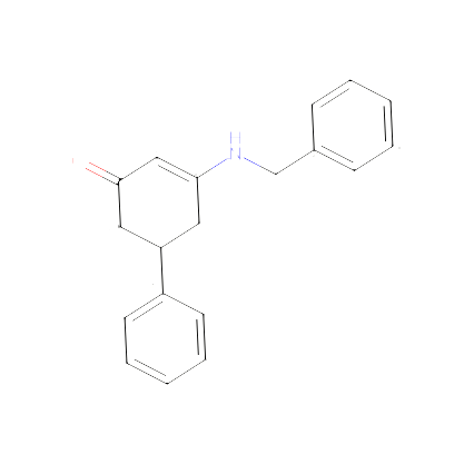 O=C1C=C(NCc2ccccc2)CC(c2ccccc2)C1